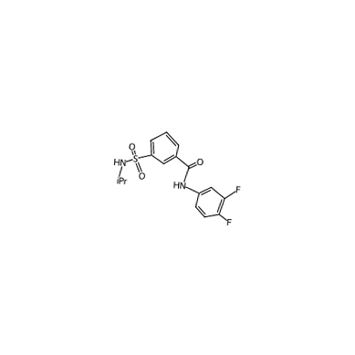 CC(C)NS(=O)(=O)c1cccc(C(=O)Nc2ccc(F)c(F)c2)c1